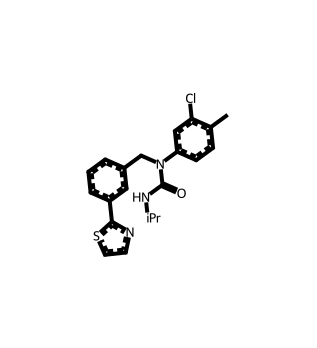 Cc1ccc(N(Cc2cccc(-c3nccs3)c2)C(=O)NC(C)C)cc1Cl